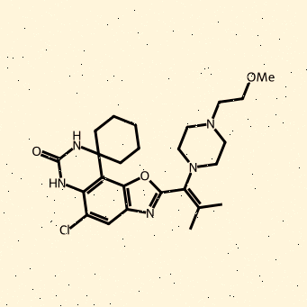 COCCN1CCN(C(=C(C)C)c2nc3cc(Cl)c4c(c3o2)C2(CCCCC2)NC(=O)N4)CC1